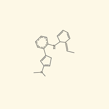 CC=C1C=CC=CC1Nc1ccccc1C1=CC(N(C)C)=CC1